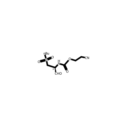 CCCCS(=O)(=O)C[C@H](C=O)NC(=O)OCCC#N